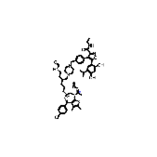 C=N/N=C(/C)N1C[C@H](CCCC(CCNC=O)CN2CCN(Cc3ccc(-c4c(C(=O)NCC)noc4-c4cc(C(C)C)c(O)cc4O)cc3)CC2)N=C(c2ccc(Cl)cc2)c2c1sc(C)c2C